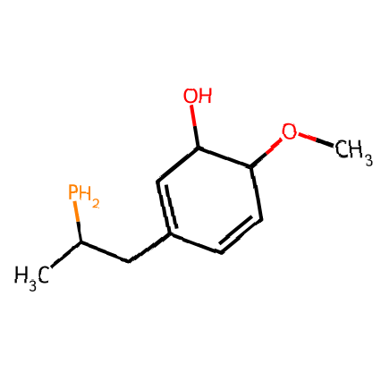 COC1C=CC(CC(C)P)=CC1O